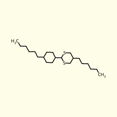 CCCCCCC1CCC(C2SCC(CCCCCC)CS2)CC1